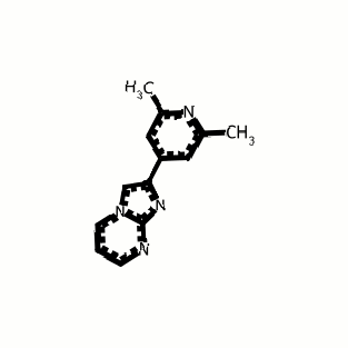 Cc1cc(-c2cn3cccnc3n2)cc(C)n1